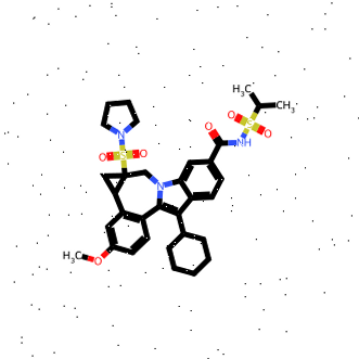 COc1ccc2c(c1)C1CC1(S(=O)(=O)N1CCCC1)Cn1c-2c(C2CCCCC2)c2ccc(C(=O)NS(=O)(=O)C(C)C)cc21